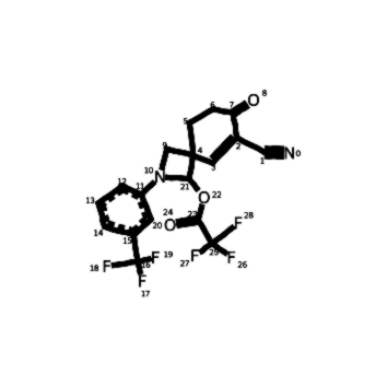 N#CC1=CC2(CCC1=O)CN(c1cccc(C(F)(F)F)c1)C2OC(=O)C(F)(F)F